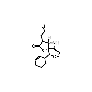 O=C1S[C@@]2([C@@H](O)[C@@H]3C=CCCC3)C(=O)N[C@H]2C1CCCl